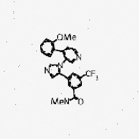 CNC(=O)c1cc(-c2cncn2-c2cnccc2-c2ccccc2OC)cc(C(F)(F)F)c1